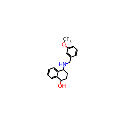 OC1CCC(NCc2cccc(OC(F)(F)F)c2)c2ccccc21